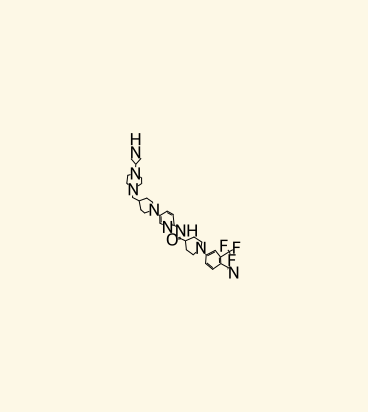 N#Cc1ccc(N2CCC(C(=O)Nc3ccc(N4CCC(CN5CCN(C6CNC6)CC5)CC4)cn3)CC2)cc1C(F)(F)F